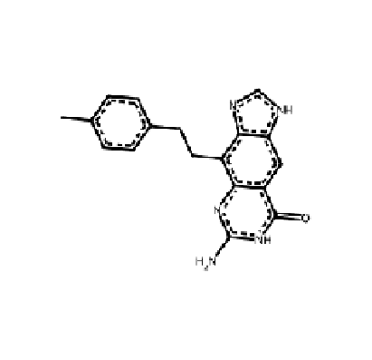 Cc1ccc(CCc2c3nc[nH]c3cc3c(=O)[nH]c(N)nc23)cc1